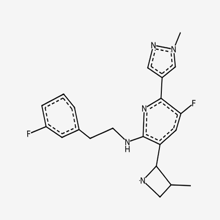 CC1C[N]C1c1cc(F)c(-c2cnn(C)c2)nc1NCCc1cccc(F)c1